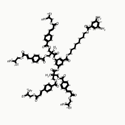 CCCC(CC)COC(=O)C=Cc1ccc(C(=O)OCC(C)(COC(=O)c2ccc(C=CC(=O)OCC(CC)CCC)cc2)C(=O)Oc2cc(OC(=O)C(C)(COC(=O)c3ccc(C=CC(=O)OCC(CC)CCC)cc3)COC(=O)c3ccc(C=CC(=O)OCC(CC)CCC)cc3)cc(C(=O)OCCCCCCCCOC(=O)c3cc(N)cc(N)c3)c2)cc1